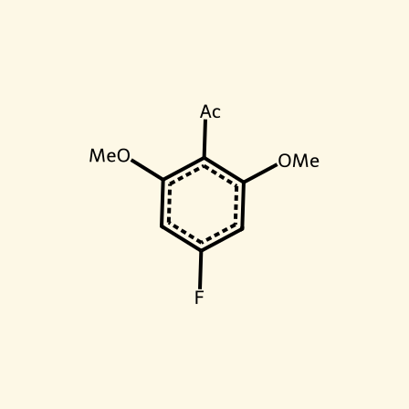 COc1cc(F)cc(OC)c1C(C)=O